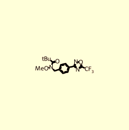 CON(Cc1ccc(-c2noc(C(F)(F)F)n2)cc1)C(=O)C(C)(C)C